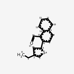 CCc1csc(-c2ccc3ccccc3c2C=O)c1